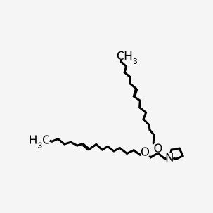 CCCCCCC=CCCCCCCCCOCC(CN1CCCC1)OCCCCCCCCC=CCCCCCC